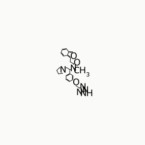 CN(C(=O)Cc1occ2ccccc12)C(CN1CCCC1)c1cccc(OCc2nn[nH]n2)c1